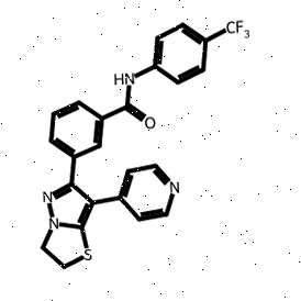 O=C(Nc1ccc(C(F)(F)F)cc1)c1cccc(-c2nn3c(c2-c2ccncc2)SCC3)c1